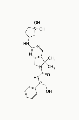 CC1(C)c2cnc(NC3CCS(O)(O)C3)nc2CN1C(=O)N[C@H](CO)c1ccccc1